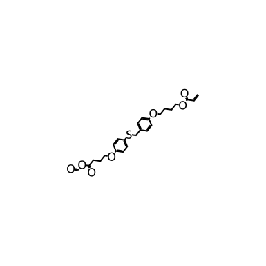 C=CC(=O)OCCCCOc1ccc(CSc2ccc(OCCCC(=O)OC=O)cc2)cc1